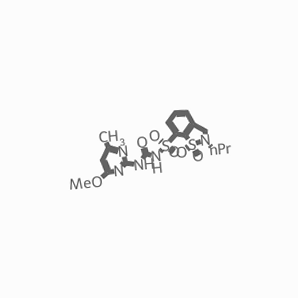 CCCN1Cc2cccc(S(=O)(=O)NC(=O)Nc3nc(C)cc(OC)n3)c2S1(=O)=O